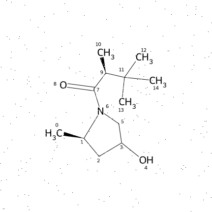 C[C@@H]1CC(O)CN1C(=O)[C@@H](C)C(C)(C)C